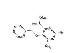 COC(=O)c1nc(Br)cc(N)c1OCc1ccccc1